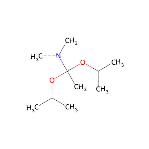 CC(C)OC(C)(OC(C)C)N(C)C